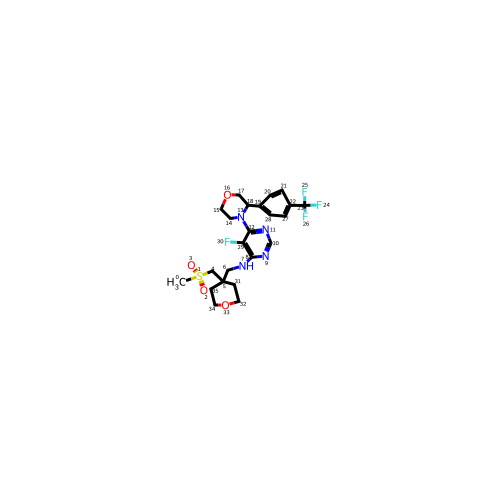 CS(=O)(=O)CC1(CNc2ncnc(N3CCOCC3c3ccc(C(F)(F)F)cc3)c2F)CCOCC1